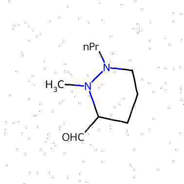 CCCN1CCCC(C=O)N1C